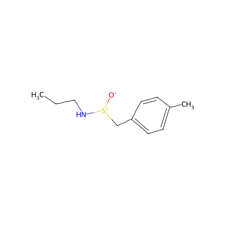 CCCN[S+]([O-])Cc1ccc(C)cc1